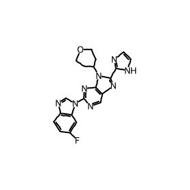 Fc1ccc2ncn(-c3ncc4nc(-c5ncc[nH]5)n(C5CCOCC5)c4n3)c2c1